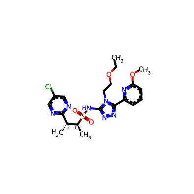 CCOCCn1c(NS(=O)(=O)[C@@H](C)[C@H](C)c2ncc(Cl)cn2)nnc1-c1cccc(OC)n1